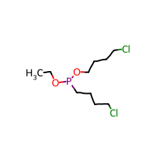 CCOP(CCCCCl)OCCCCCl